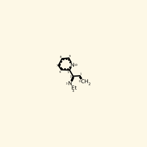 C=C/C(=N\CC)c1ccccn1